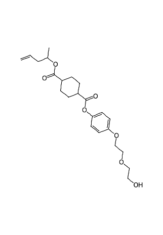 C=CCC(C)OC(=O)C1CCC(C(=O)Oc2ccc(OCCOCCO)cc2)CC1